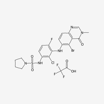 Cn1cnc2ccc(Nc3c(F)ccc(NS(=O)(=O)N4CCCC4)c3Cl)c(Br)c2c1=O.O=C(O)C(F)(F)F